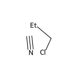 C#N.CCCCl